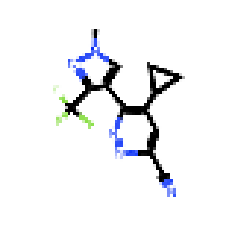 Cn1cc(-c2nnc(C#N)cc2C2CC2)c(C(F)(F)F)n1